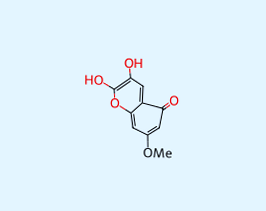 COc1cc2oc(O)c(O)cc-2c(=O)c1